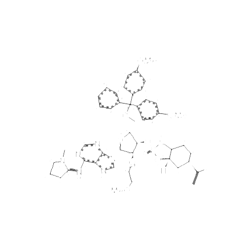 C=C(C)[C@@H]1CC[C@]2(C)S[P@](=S)(O[C@H]3[C@@H](OCCOC)[C@H](n4cnc5c(N=C6CCCN6C)ncnc54)O[C@@H]3COC(c3ccccc3)(c3ccc(OC)cc3)c3ccc(OC)cc3)O[C@H]2C1